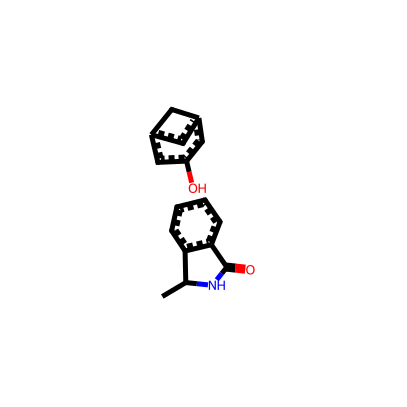 CC1NC(=O)c2ccccc21.Oc1cc2cc(c1)C2